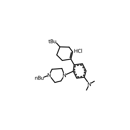 CCCCN1CCN(c2cc(N(C)C)ccc2C2=CCC(C(C)(C)C)CC2)CC1.Cl